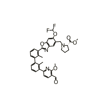 COC(=O)[C@@H]1CCCN1Cc1cc2nc(-c3cccc(-c4cccc(-c5ccc(C=O)c(OC)n5)c4C)c3C)oc2cc1OC(F)F